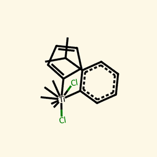 CC(C)c1cccc[c]1[Ti]([CH3])([CH3])([CH3])([CH3])([CH3])([Cl])([Cl])[C]1=CC=CC1